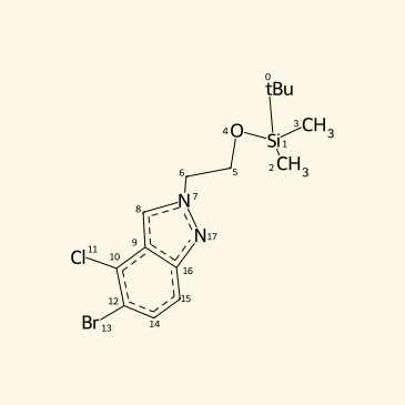 CC(C)(C)[Si](C)(C)OCCn1cc2c(Cl)c(Br)ccc2n1